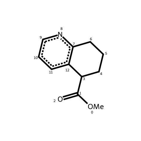 COC(=O)C1CCCc2ncccc21